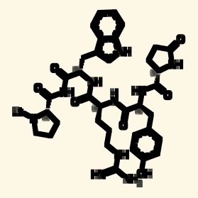 CCN1CCC[C@H]1C(=O)NC(=O)[C@H](Cc1c[nH]c2ccccc12)NC(=O)[C@H](CCCNC(=N)N)NC(=O)[C@H](Cc1ccc(O)cc1)NC(=O)[C@@H]1CCC(=O)N1